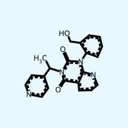 CC(c1ccncc1)n1c(=O)c2cccnc2n(-c2ccccc2CO)c1=O